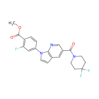 COC(=O)c1ccc(-n2ccc3cc(C(=O)N4CCC(F)(F)CC4)cnc32)cc1F